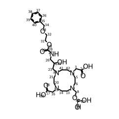 O=C(O)CN1CCN(CO[PH](=O)O)CCN(CC(=O)O)CCN(CC(O)CNC(=O)OCCOCc2ccccc2)CC1